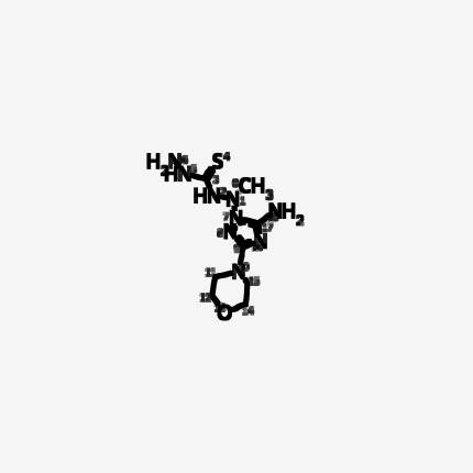 CN(NC(=S)NN)n1nc(N2CCOCC2)nc1N